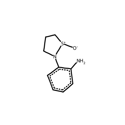 Nc1ccccc1N1CCC[S+]1[O-]